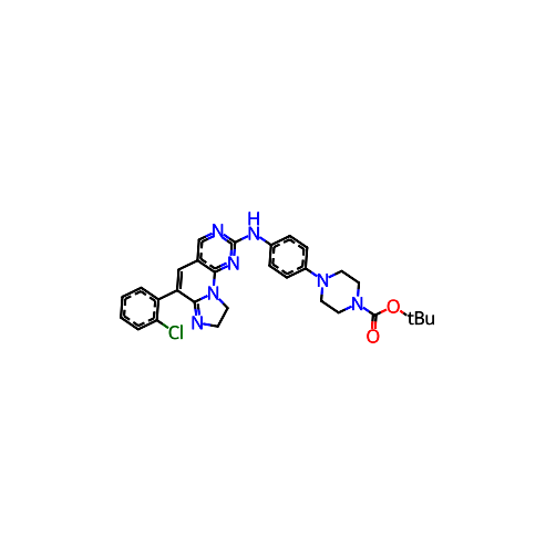 CC(C)(C)OC(=O)N1CCN(c2ccc(Nc3ncc4c(n3)N3CCN=C3C(c3ccccc3Cl)=C4)cc2)CC1